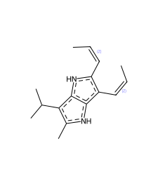 C/C=C\c1[nH]c2c(C(C)C)c(C)[nH]c2c1/C=C\C